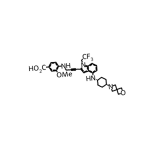 COc1cc(C(=O)O)ccc1NCC#Cc1cc2c(N[C@H]3CC[C@H](N4CC5(COC5)C4)CC3)cccc2n1CC(F)(F)F